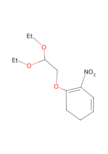 CCOC(COC1=C([N+](=O)[O-])C=CCC1)OCC